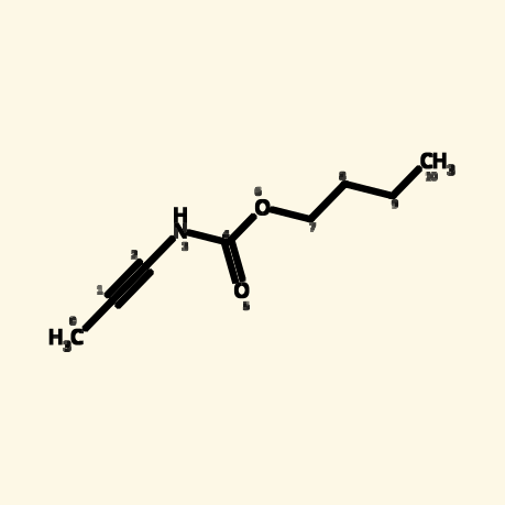 CC#CNC(=O)OCCCC